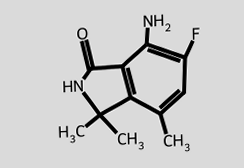 Cc1cc(F)c(N)c2c1C(C)(C)NC2=O